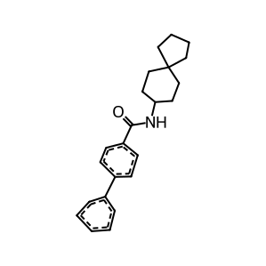 O=C(NC1CCC2(CCCC2)CC1)c1ccc(-c2ccccc2)cc1